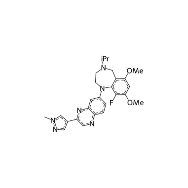 COc1cc(OC)c2c(c1F)N(c1ccc3ncc(-c4cnn(C)c4)nc3c1)CCN(C(C)C)C2